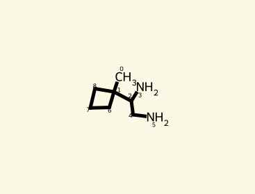 CC1(C(N)CN)CCC1